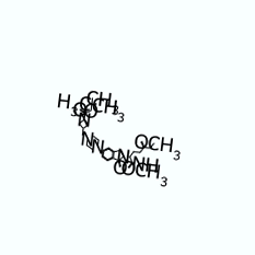 CCC(=O)CCC(C(=O)NC)N1Cc2cc(N3CCN(CC4CN(C(=O)OC(C)(C)C)C4)CC3)ccc2C1=O